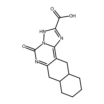 O=C(O)c1nc2c3c(nc(=O)n2[nH]1)CC1CCCCC1C3